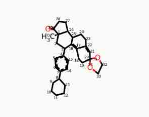 C[C@]12CC(c3ccc(C4CCCCC4)cc3)C3=C4CCC5(C=C4CCC3C1CCC2=O)OCCO5